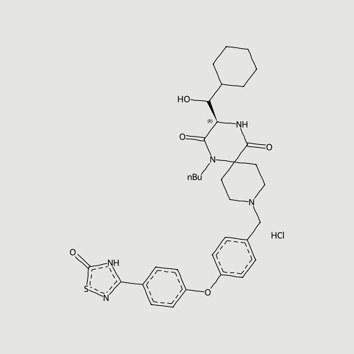 CCCCN1C(=O)[C@@H](C(O)C2CCCCC2)NC(=O)C12CCN(Cc1ccc(Oc3ccc(-c4nsc(=O)[nH]4)cc3)cc1)CC2.Cl